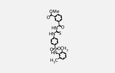 COC(=O)c1cccc(C(=O)NC(=S)Nc2ccc(S(=O)(=O)Nc3c(C)cccc3C)cc2)c1